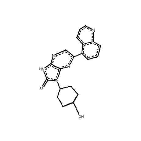 O=c1[nH]c2ncc(-c3cccc4ncccc34)nc2n1C1CCC(O)CC1